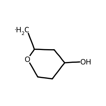 [CH2]C1CC(O)CCO1